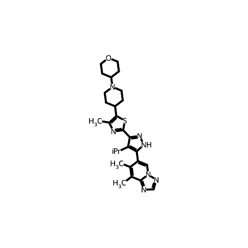 Cc1nc(-c2n[nH]c(-c3cn4ncnc4c(C)c3C)c2C(C)C)sc1C1CCN(C2CCOCC2)CC1